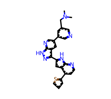 CN(C)Cc1cncc(-c2cnc3[nH]nc(-c4cc5c(-c6cccs6)ccnc5[nH]4)c3c2)c1